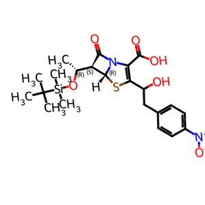 C[C@@H](O[Si](C)(C)C(C)(C)C)[C@H]1C(=O)N2C(C(=O)O)=C(C(O)Cc3ccc([N+](=O)[O-])cc3)S[C@H]12